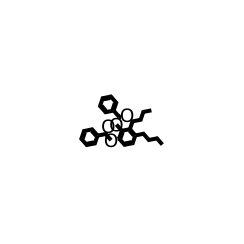 CCCCc1ccc(OC(=O)c2ccccc2)c(OC(=O)c2ccccc2)c1CCCC